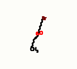 CCCCCCC#CCOC(=O)CCCCCCCBr